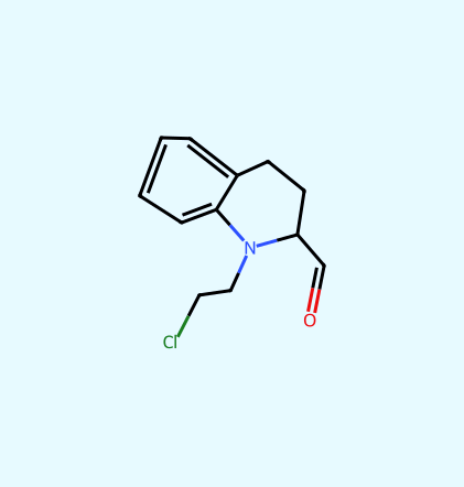 O=CC1CCc2ccccc2N1CCCl